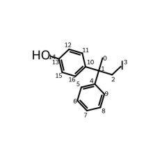 CC(CI)(c1ccccc1)c1ccc(O)cc1